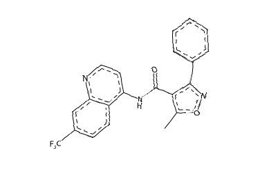 Cc1onc(-c2ccccc2)c1C(=O)Nc1ccnc2cc(C(F)(F)F)ccc12